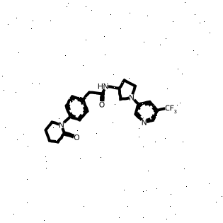 O=C(Cc1ccc(N2CCCCC2=O)cc1)NC1CCN(c2cncc(C(F)(F)F)c2)C1